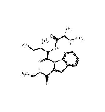 CCNC(=O)C1Cc2cccnc2N1C(=O)[C@@H](NC(=O)[C@H](C)NC)[C@@H](C)CC